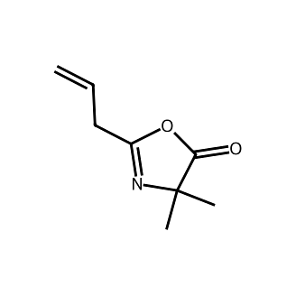 C=CCC1=NC(C)(C)C(=O)O1